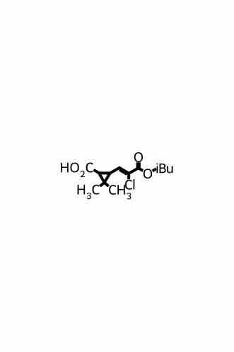 CCC(C)OC(=O)/C(Cl)=C/C1C(C(=O)O)C1(C)C